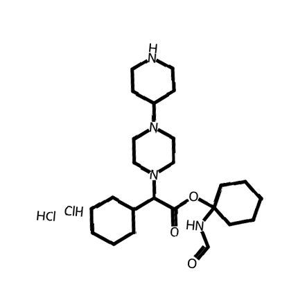 Cl.Cl.O=CNC1(OC(=O)C(C2CCCCC2)N2CCN(C3CCNCC3)CC2)CCCCC1